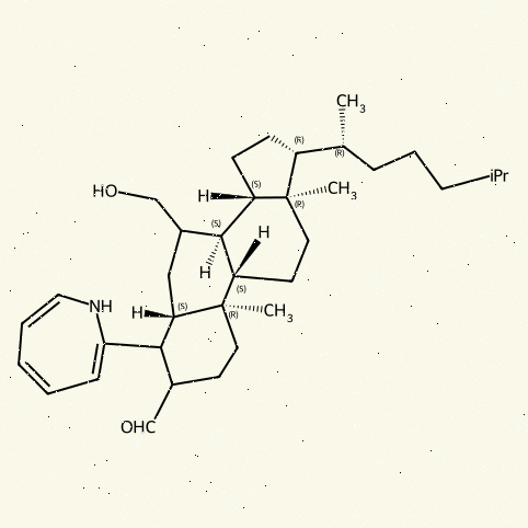 CC(C)CCC[C@@H](C)[C@H]1CC[C@H]2[C@@H]3C(CO)C[C@H]4C(C5=CC=CC=CN5)C(C=O)CC[C@]4(C)[C@H]3CC[C@]12C